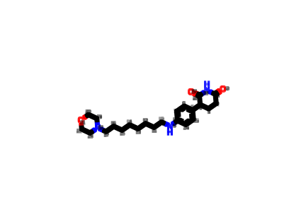 O=C1CCC(c2ccc(NCCCCCCCCN3CCOCC3)cc2)C(=O)N1